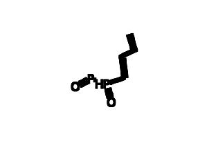 C=CC=C[PH](=O)P=O